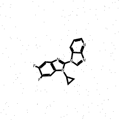 Fc1cc2nc(-n3cnc4ncccc43)n(C3CC3)c2cc1F